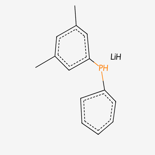 Cc1cc(C)cc(Pc2ccccc2)c1.[LiH]